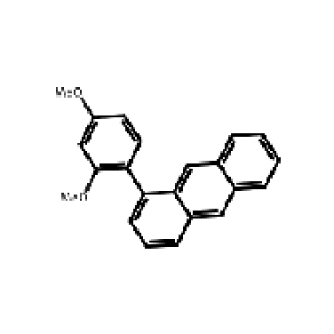 COc1ccc(-c2cccc3cc4ccccc4cc23)c(OC)c1